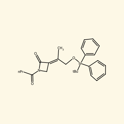 CCCC(=O)N1C/C(=C(/C)CO[Si](c2ccccc2)(c2ccccc2)C(C)(C)C)C1=O